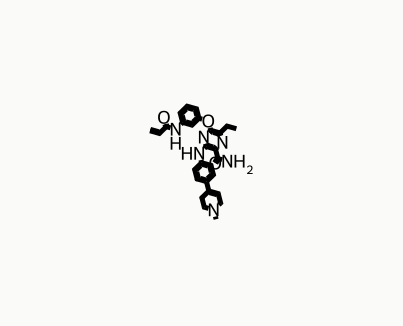 C=CC(=O)Nc1cccc(Oc2nc(Nc3ccc(C4=CCN(C)CC4)cc3)c(C(N)=O)nc2CC)c1